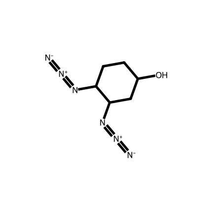 [N-]=[N+]=NC1CCC(O)CC1N=[N+]=[N-]